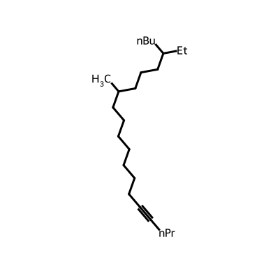 [CH2]CCC#CCCCCCCCC(C)CCCC(CC)CCC[CH2]